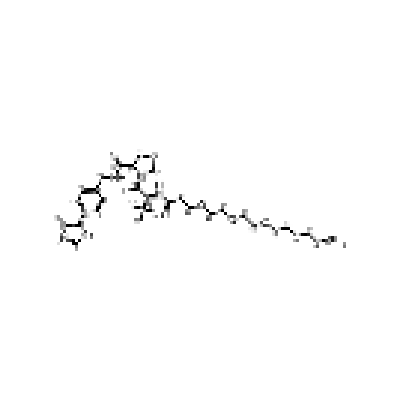 Cc1ncsc1-c1ccc(CNC(=O)C2CCCN2C(=O)C(NC(=O)CCOCCOCCOCCOCCN)C(C)(C)C)cc1